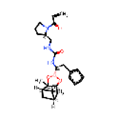 C=CC(=O)N1CCC[C@@H]1CNC(=O)N[C@@H](Cc1ccccc1)B1OC2C[C@@H]3C[C@@H](C3(C)C)[C@]2(C)O1